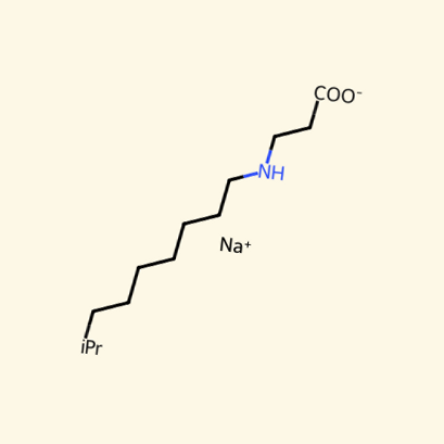 CC(C)CCCCCCCNCCC(=O)[O-].[Na+]